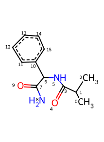 CC(C)C(=O)NC(C(N)=O)c1ccccc1